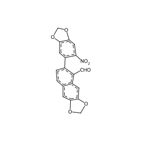 O=Cc1c(-c2cc3c(cc2[N+](=O)[O-])OCO3)ccc2cc3c(cc12)OCO3